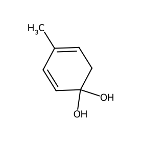 CC1=CCC(O)(O)C=C1